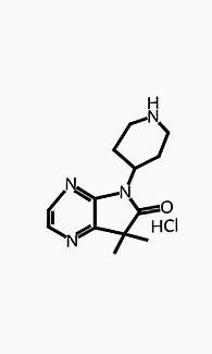 CC1(C)C(=O)N(C2CCNCC2)c2nccnc21.Cl